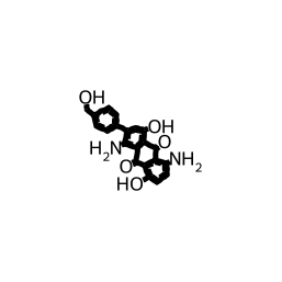 Nc1ccc(O)c2c1C(=O)c1c(O)cc(-c3ccc(CO)cc3)c(N)c1C2=O